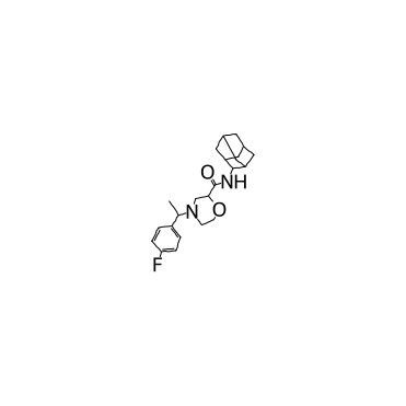 CC(c1ccc(F)cc1)N1CCOC(C(=O)NC2C3CC4CC(C3)CC2C4)C1